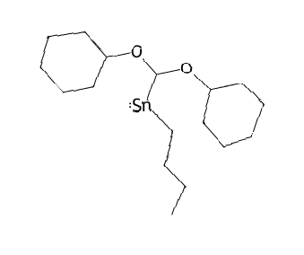 CCC[CH2][Sn][CH](OC1CCCCC1)OC1CCCCC1